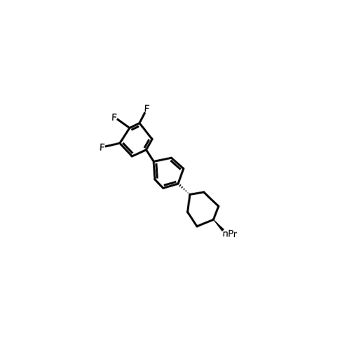 CCC[C@H]1CC[C@H](c2ccc(-c3cc(F)c(F)c(F)c3)cc2)CC1